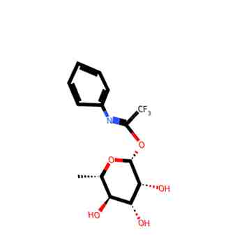 C[C@@H]1O[C@H](OC(=Nc2ccccc2)C(F)(F)F)[C@H](O)[C@H](O)[C@H]1O